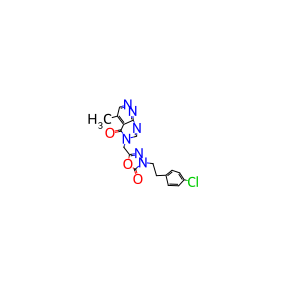 Cc1cnnc2ncn(Cc3nn(CCc4ccc(Cl)cc4)c(=O)o3)c(=O)c12